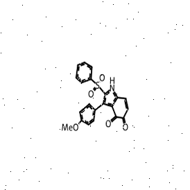 COc1ccc(-c2c(S(=O)(=O)c3ccccc3)[nH]c3c2C(=O)C(=O)C=C3)cc1